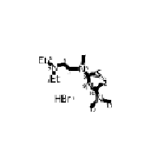 Br.CCN(CC)CCN(C)C1N=C(N(C)C)SS1